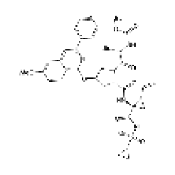 C=CC1C[C@]1(NC(=O)[C@@H]1C[C@@H](Oc2nc(-c3ccncc3)cc3cc(OC)ccc23)CN1C(=O)[C@@H](NC(=O)OC(C)(C)C)C(C)(C)C)C(=O)NS(=O)(=O)C1CC1